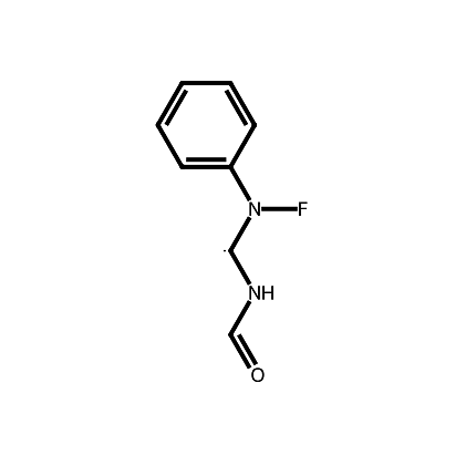 O=CN[CH]N(F)c1ccccc1